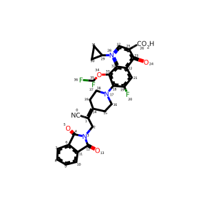 N#CC(CN1C(=O)c2ccccc2C1=O)=C1CCN(c2c(F)cc3c(=O)c(C(=O)O)cn(C4CC4)c3c2OC(F)F)CC1